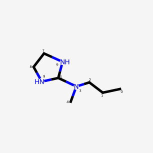 CCCN(C)[C]1NCCN1